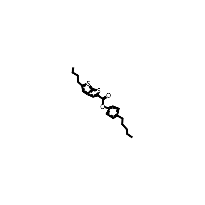 CCCCCc1ccc(OC(=O)c2cc3cc(CCCC)sc3s2)cc1